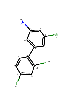 Nc1cc(Br)cc(-c2ccc(F)cc2F)c1